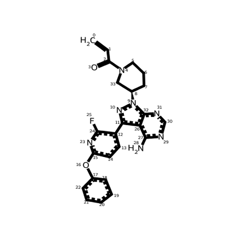 C=CC(=O)N1CCC[C@@H](n2nc(-c3ccc(Oc4ccccc4)nc3F)c3c(N)ncnc32)C1